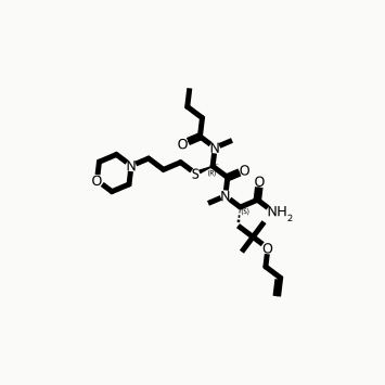 C=CCOC(C)(C)C[C@@H](C(N)=O)N(C)C(=O)[C@@H](SCCCN1CCOCC1)N(C)C(=O)CCC